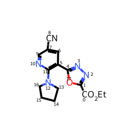 CCOC(=O)c1nnc(-c2cc(C#N)cnc2N2CCCC2)o1